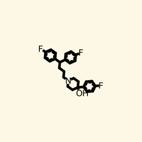 OC1(c2ccc(F)cc2)CCN(CCCC(c2ccc(F)cc2)c2ccc(F)cc2)CC1